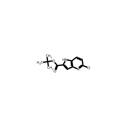 CC(C)(C)OC(=O)c1cc2nc(Cl)ccc2[nH]1